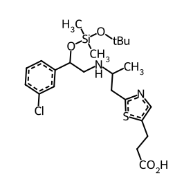 CC(Cc1ncc(CCC(=O)O)s1)NCC(O[Si](C)(C)OC(C)(C)C)c1cccc(Cl)c1